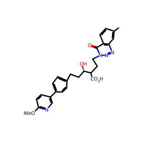 COc1ccc(-c2ccc(CC[C@@H](O)C(CCn3nnc4cc(C)ccc4c3=O)C(=O)O)cc2)cn1